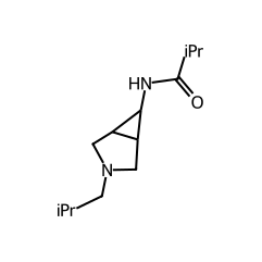 CC(C)CN1CC2C(C1)C2NC(=O)C(C)C